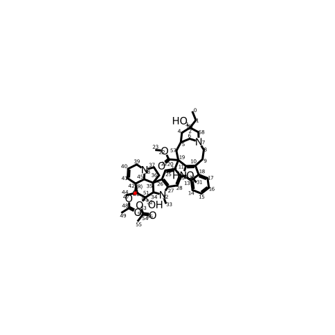 CC[C@]1(O)CC2CN(CCc3c([nH]c4ccccc34)C(C(=O)OC)(c3cc4c(cc3OC)N(C)C3C45CCN4CC=C[C@](CC)(C45)[C@@H](OC(C)=O)[C@]3(O)OC(C)=O)C2)C1